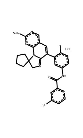 CNc1ncc2c(n1)N1C(=NCC13CCCC3)C(c1cc(NC(=O)c3cc(C(F)(F)F)ccn3)ccc1C)=C2.Cl